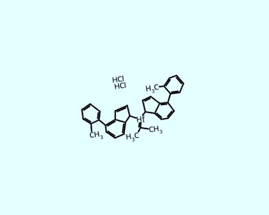 C[C](C)=[Hf]([CH]1C=Cc2c(-c3ccccc3C)cccc21)[CH]1C=Cc2c(-c3ccccc3C)cccc21.Cl.Cl